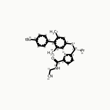 Cc1cc(S[C@@H](c2ccc(C(=O)NCC#N)s2)C(C)C)cc(C)c1-c1ccc(C(C)(C)C)cc1